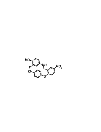 O=[N+]([O-])c1ccc(Sc2ccc(Cl)cc2)c(CNc2ccc(O)c(F)c2)c1